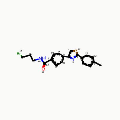 Cc1ccc(-c2nc(-c3ccc(C(=O)NCCCBr)cc3)cs2)cc1